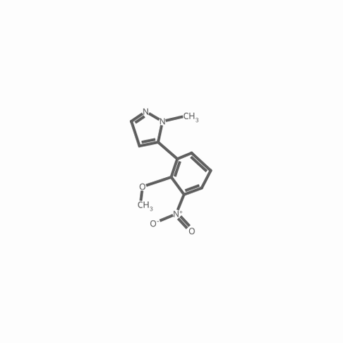 COc1c(-c2ccnn2C)cccc1[N+](=O)[O-]